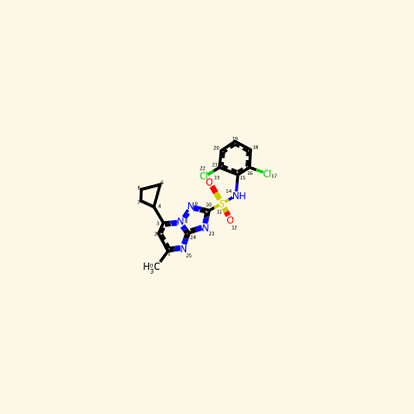 Cc1cc(C2CCC2)n2nc(S(=O)(=O)Nc3c(Cl)cccc3Cl)nc2n1